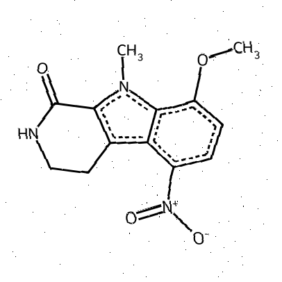 COc1ccc([N+](=O)[O-])c2c3c(n(C)c12)C(=O)NCC3